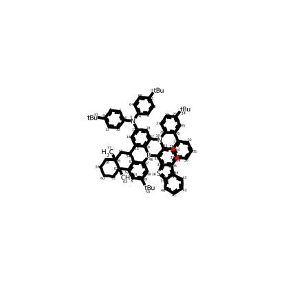 CC(C)(C)c1ccc(N(c2ccc(C(C)(C)C)cc2)c2cc3c4c(c2)N(c2ccc(C(C)(C)C)cc2-c2ccccc2)c2ccc5c(sc6ccccc65)c2B4c2cc(C(C)(C)C)cc4c2C3CC2(C)CCCCC42C)cc1